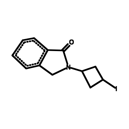 O=C1c2ccccc2CN1C1CC(I)C1